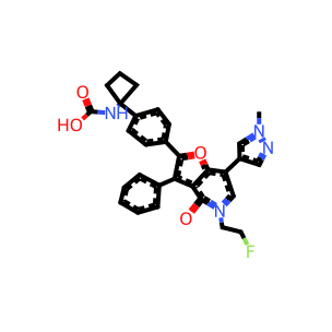 Cn1cc(-c2cn(CCF)c(=O)c3c(-c4ccccc4)c(-c4ccc(C5(NC(=O)O)CCC5)cc4)oc23)cn1